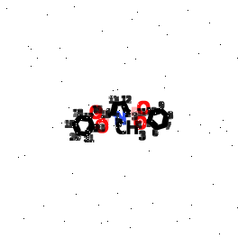 Cn1c(B2Oc3ccccc3O2)ccc1B1Oc2ccccc2O1